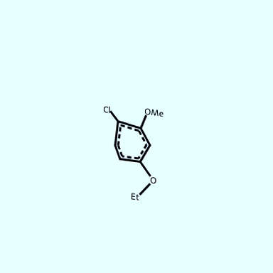 CCOc1ccc(Cl)c(OC)c1